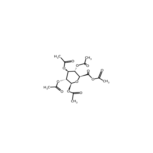 CC(=O)OC(=O)[C@H]1O[C@@H](OC(C)=O)[C@H](OC(C)=O)[C@@H](OC(C)=O)[C@@H]1OC(C)=O